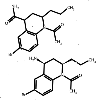 CCCC1CC(C(N)=O)c2cc(Br)ccc2N1C(C)=O.CCC[C@@H]1C[C@H](N)c2cc(Br)ccc2N1C(C)=O